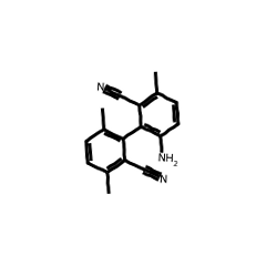 Cc1ccc(C)c(-c2c(N)ccc(C)c2C#N)c1C#N